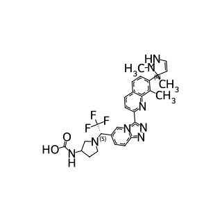 Cc1c([C@@]2(C)C=CNN2C)ccc2ccc(-c3nnc4ccc([C@H](N5CCC(NC(=O)O)C5)C(F)(F)F)cn34)nc12